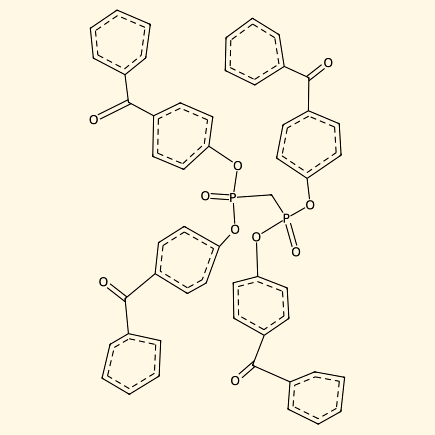 O=C(c1ccccc1)c1ccc(OP(=O)(CP(=O)(Oc2ccc(C(=O)c3ccccc3)cc2)Oc2ccc(C(=O)c3ccccc3)cc2)Oc2ccc(C(=O)c3ccccc3)cc2)cc1